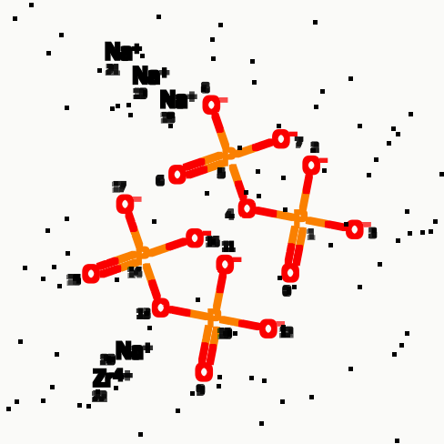 O=P([O-])([O-])OP(=O)([O-])[O-].O=P([O-])([O-])OP(=O)([O-])[O-].[Na+].[Na+].[Na+].[Na+].[Zr+4]